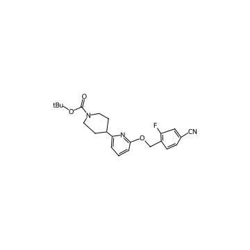 CC(C)(C)OC(=O)N1CCC(c2cccc(OCc3ccc(C#N)cc3F)n2)CC1